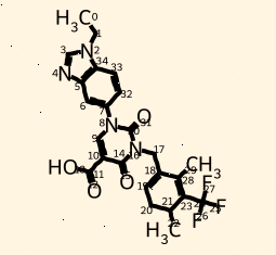 CCn1cnc2cc(-n3cc(C(=O)O)c(=O)n(CC4=CCC(C)C(C(F)(F)F)=C4C)c3=O)ccc21